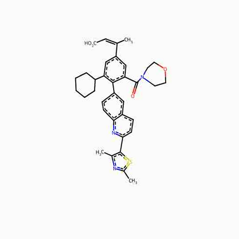 C/C(=C/C(=O)O)c1cc(C(=O)N2CCOCC2)c(-c2ccc3nc(-c4sc(C)nc4C)ccc3c2)c(C2CCCCC2)c1